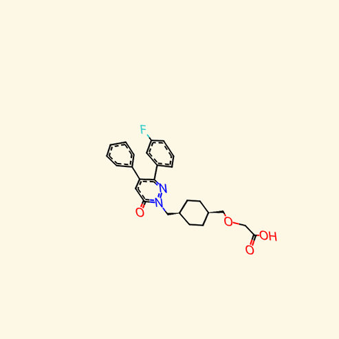 O=C(O)COC[C@H]1CC[C@@H](Cn2nc(-c3cccc(F)c3)c(-c3ccccc3)cc2=O)CC1